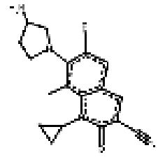 Cc1c(N2CCC(N)C2)c(F)cc2cc(C#N)c(=O)n(C3CC3)c12